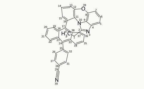 CCc1nc2cccc3c2n1-c1c(cccc1-c1c2ccccc2c(-c2ccc(C#N)cc2)c2ccccc12)O3